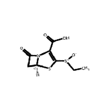 CC[S+]([O-])C1=C(C(=O)O)N2C(=O)C[C@@H]2S1